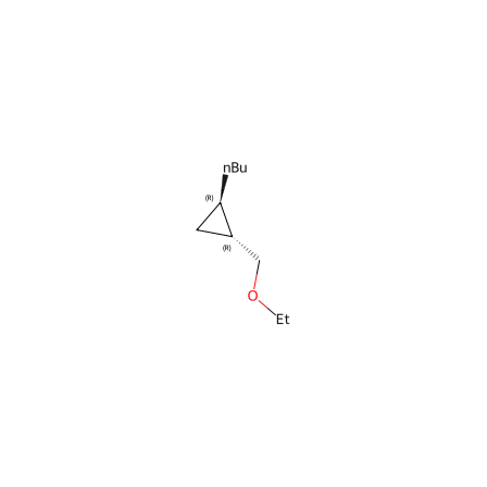 CCCC[C@@H]1C[C@H]1COCC